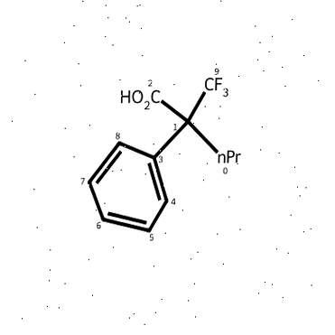 CCCC(C(=O)O)(c1ccccc1)C(F)(F)F